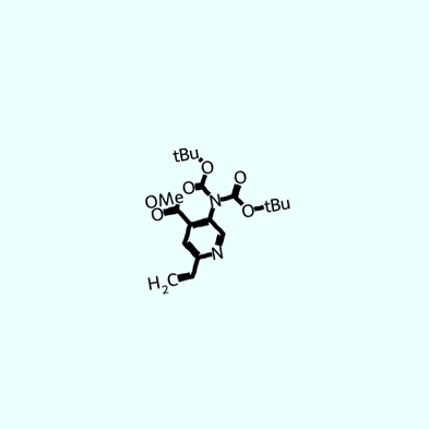 C=Cc1cc(C(=O)OC)c(N(C(=O)OC(C)(C)C)C(=O)OC(C)(C)C)cn1